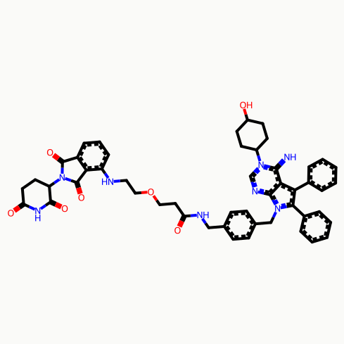 N=c1c2c(-c3ccccc3)c(-c3ccccc3)n(Cc3ccc(CNC(=O)CCOCCNc4cccc5c4C(=O)N(C4CCC(=O)NC4=O)C5=O)cc3)c2ncn1C1CCC(O)CC1